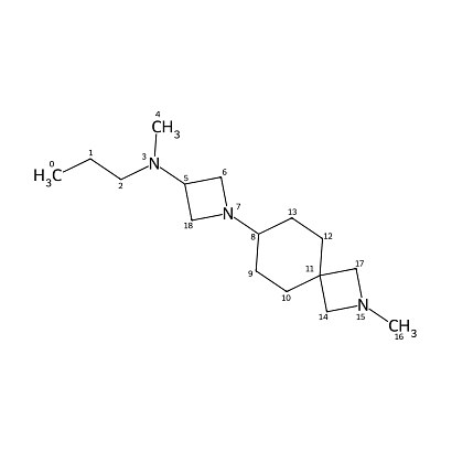 CCCN(C)C1CN(C2CCC3(CC2)CN(C)C3)C1